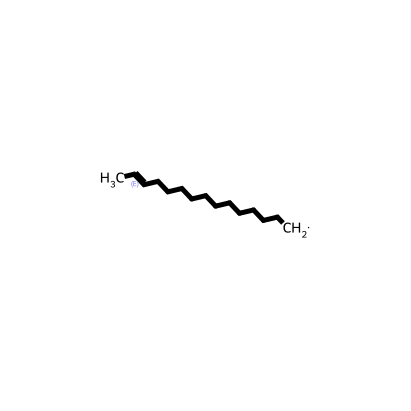 [CH2]CCCCCCCCCCC/C=C/C